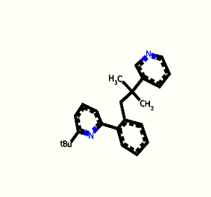 CC(C)(C)c1cccc(-c2ccccc2CC(C)(C)c2cccnc2)n1